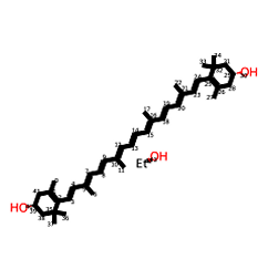 CC1=C(/C=C/C(C)=C/C=C/C(C)=C/C=C/C=C(C)/C=C/C=C(C)/C=C/C2=C(C)C[C@@H](O)CC2(C)C)C(C)(C)C[C@H](O)C1.CCO